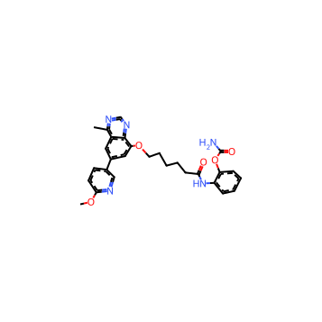 COc1ccc(-c2cc(OCCCCCC(=O)Nc3ccccc3OC(N)=O)c3ncnc(C)c3c2)cn1